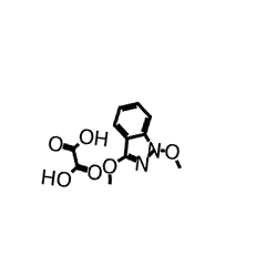 COc1nn(OC)c2ccccc12.O=C(O)C(=O)O